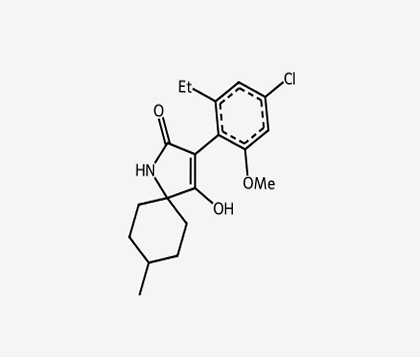 CCc1cc(Cl)cc(OC)c1C1=C(O)C2(CCC(C)CC2)NC1=O